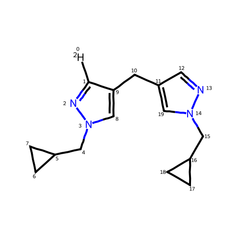 [2H]c1nn(CC2CC2)cc1Cc1cnn(CC2CC2)c1